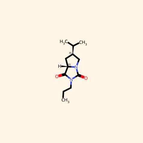 CCCN1C(=O)[C@@H]2C[C@@H](C(C)C)CN2C1=O